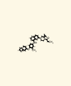 C=CC(=O)N1CCN(c2ccc3ncnc(Nc4ccc(Oc5ccn6ncnc6c5)c(C)c4)c3n2)CC12CC2